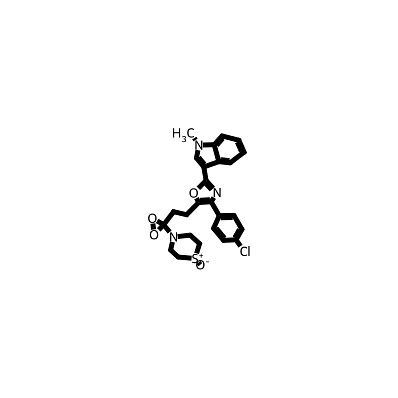 Cn1cc(-c2nc(-c3ccc(Cl)cc3)c(CCC3(N4CC[S+]([O-])CC4)OO3)o2)c2ccccc21